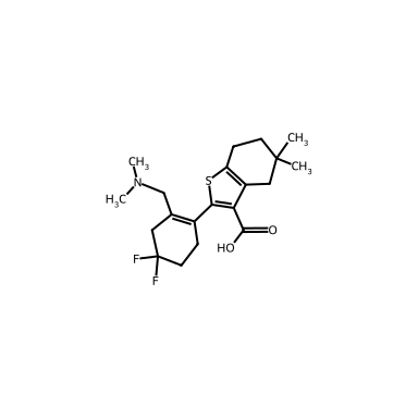 CN(C)CC1=C(c2sc3c(c2C(=O)O)CC(C)(C)CC3)CCC(F)(F)C1